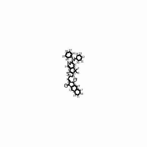 CC1(C)C2=C(SC(C=C3C(=O)c4cc5ccccc5cc4C3=O)C2)c2cnc(N(c3ccccc3)c3ccccc3)cc21